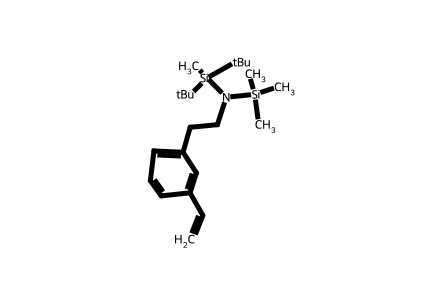 C=Cc1cccc(CCN([Si](C)(C)C)[Si](C)(C(C)(C)C)C(C)(C)C)c1